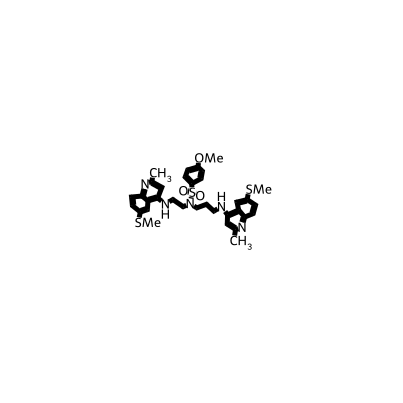 COc1ccc(S(=O)(=O)N(CCCNc2cc(C)nc3ccc(SC)cc23)CCNc2cc(C)nc3ccc(SC)cc23)cc1